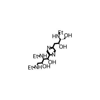 CCNC[C@H](O)[C@@H](NCC)C(O)c1cnc(C[C@H](O)[C@@H](CO)NCC)cn1